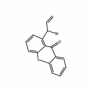 C=CC(Br)c1cccc2sc3ccccc3c(=O)c12